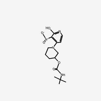 CC(C)(C)NC(=O)OC1CCCN(c2ccnc(O)c2[N+](=O)[O-])C1